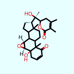 CC1=C(C)C(=O)OC([C@](C)(O)[C@H]2CCC3C4C(CCC32C)C2(C)C(=O)C=CC[C@]2(O)[C@H]2O[C@@H]42)C1